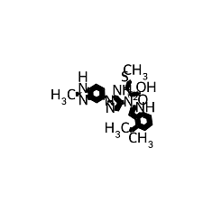 CSCC[C@@H](C(=O)O)N(c1cc2c(C(C)C)cccc2[nH]1)c1cnn(-c2ccc3[nH]c(C)nc3c2)c1N